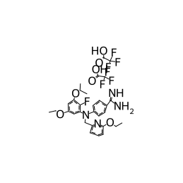 CCOc1cc(OC(C)C)c(F)c(N(Cc2cccc(OCC)n2)c2ccc(C(=N)N)cc2)c1.O=C(O)C(F)(F)F.O=C(O)C(F)(F)F